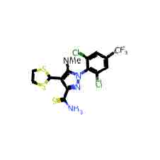 CNc1c(C2SCCS2)c(C(N)=S)nn1-c1c(Cl)cc(C(F)(F)F)cc1Cl